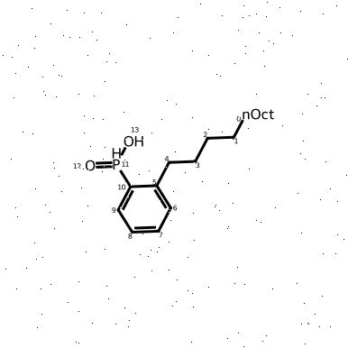 CCCCCCCCCCCCc1ccccc1[PH](=O)O